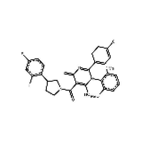 C=C1N=C(C2=CC=C(Cl)CC2)N(c2c(OC)cccc2OC)C(O)=C1C(=O)N1CCC(c2ccc(F)cc2F)C1